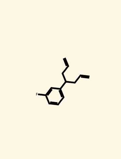 C=CCC(CC=C)c1cccc(F)c1